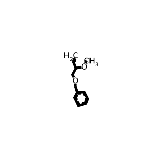 C=CC(COCc1ccccc1)OC